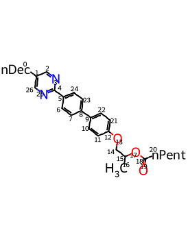 CCCCCCCCCCc1cnc(-c2ccc(-c3ccc(OCC(C)OC(=O)CCCCC)cc3)cc2)nc1